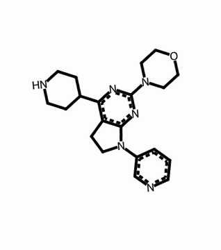 c1cncc(N2CCc3c(C4CCNCC4)nc(N4CCOCC4)nc32)c1